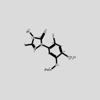 CCCC(C)Oc1cc(-n2nc(C)n(C(C)C)c2=O)c(F)cc1C(=O)O